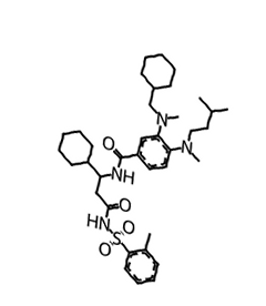 Cc1ccccc1S(=O)(=O)NC(=O)CC(NC(=O)c1ccc(N(C)CCC(C)C)c(N(C)CC2CCCCC2)c1)C1CCCCC1